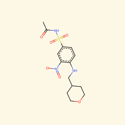 CC(=O)NS(=O)(=O)c1ccc(NCC2CCOCC2)c([N+](=O)[O-])c1